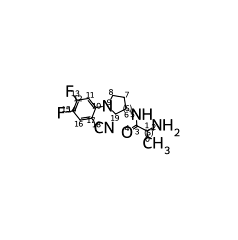 C[C@H](N)C(=O)N[C@H]1CCN(c2cc(F)c(F)cc2C#N)C1